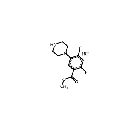 COC(=O)c1cc(N2CCNCC2)c(F)cc1F.Cl